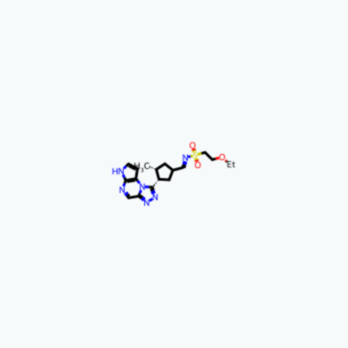 CCOCCS(=O)(=O)/N=C/C1C[C@@H](C)[C@@H](c2nnc3cnc4[nH]ccc4n23)C1